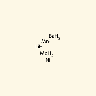 [BaH2].[LiH].[MgH2].[Mn].[Ni]